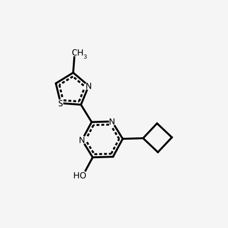 Cc1csc(-c2nc(O)cc(C3CCC3)n2)n1